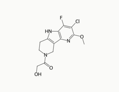 COc1nc2c3c([nH]c2c(F)c1Cl)CCN(C(=O)CO)C3